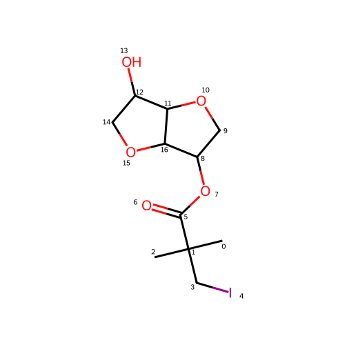 CC(C)(CI)C(=O)OC1COC2C(O)COC12